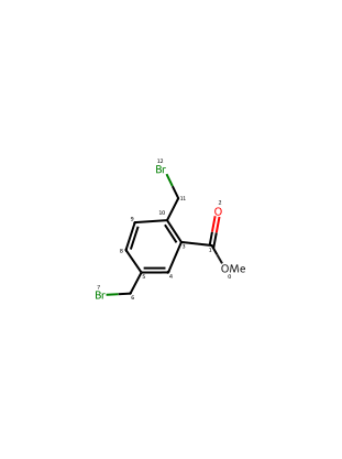 COC(=O)c1cc(CBr)ccc1CBr